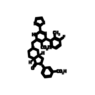 CCOC(=O)C1=C(CN2CC[C@@H]3C(=O)N(c4cccc(C(=O)O)c4)C[C@@H]3C2)NC(c2nccs2)=NC1c1cccc(F)c1C